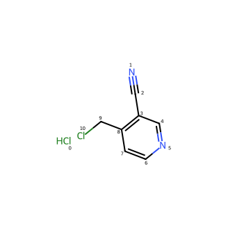 Cl.N#Cc1cnccc1CCl